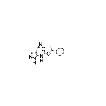 CC(OC(=O)Nc1[nH]ncc1C#N)c1ccccc1